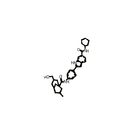 CC1CC2CC(CO)CC(C(=O)Nc3ccc(-c4cc5ccc(C(=O)NC6CCCCC6)cc5[nH]4)cc3)(C1)C2